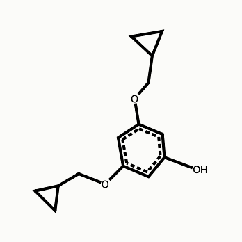 Oc1cc(OCC2CC2)cc(OCC2CC2)c1